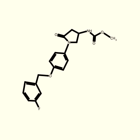 COC(=O)NC1CC(=O)N(c2ccc(OCc3cccc(F)c3)cc2)C1